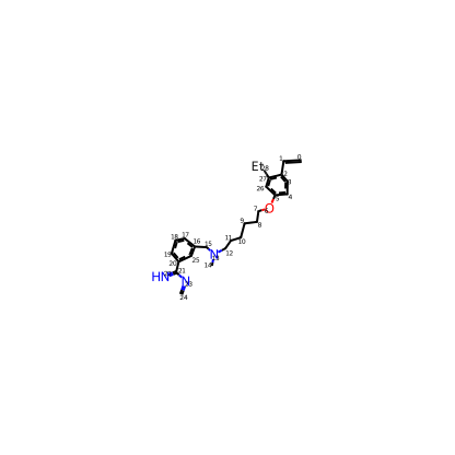 C=Cc1ccc(OCCCCCCN(C)Cc2cccc(C(=N)N=C)c2)cc1CC